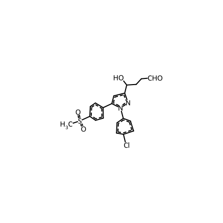 CS(=O)(=O)c1ccc(-c2cc(C(O)CCC=O)nn2-c2ccc(Cl)cc2)cc1